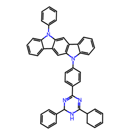 C1=CCC(C2=NC(c3ccc(-n4c5ccccc5c5cc6c(cc54)c4ccccc4n6-c4ccccc4)cc3)=NC(c3ccccc3)N2)C=C1